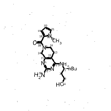 CCCC[C@@H](CCO)Nc1nc(N)nc2c1CCN(C(=O)c1cccn1C)C2